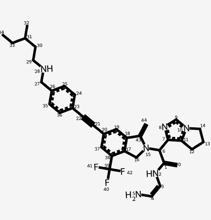 C=C(N/C=C\N)C(c1ncn2c1CCC2)N1Cc2c(cc(C#Cc3ccc(CNCCC(C)CC)cc3)cc2C(F)(F)F)C1=C